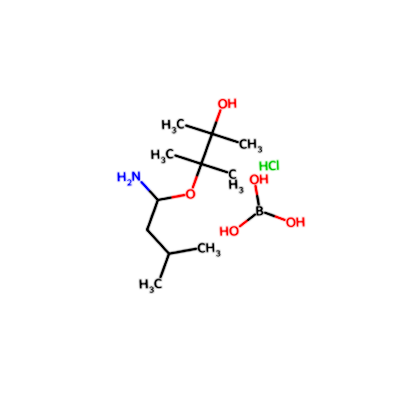 CC(C)CC(N)OC(C)(C)C(C)(C)O.Cl.OB(O)O